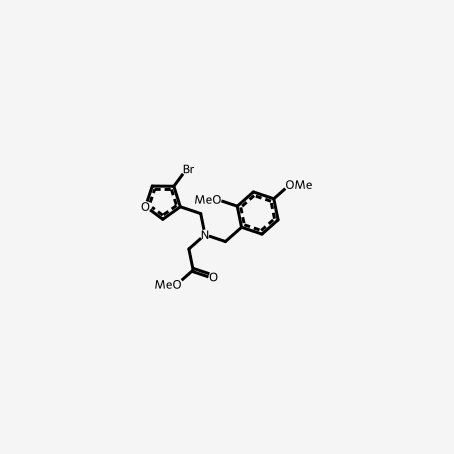 COC(=O)CN(Cc1cocc1Br)Cc1ccc(OC)cc1OC